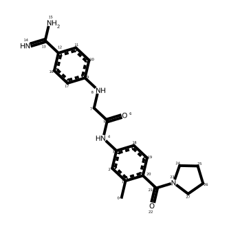 Cc1cc(NC(=O)CNc2ccc(C(=N)N)cc2)ccc1C(=O)N1CCCC1